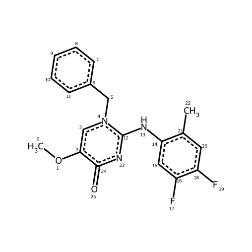 COc1cn(Cc2ccccc2)c(Nc2cc(F)c(F)cc2C)nc1=O